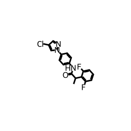 CC(C(=O)Nc1ccc(-n2cc(Cl)cn2)cc1)c1c(F)cccc1F